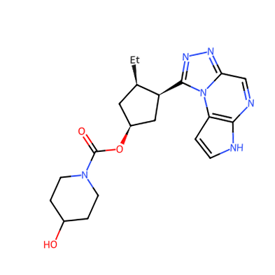 CC[C@@H]1C[C@H](OC(=O)N2CCC(O)CC2)C[C@@H]1c1nnc2cnc3[nH]ccc3n12